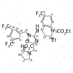 CCOC(=O)N1c2ccc(C(F)(F)F)cc2[C@@H](NC2=NC(CN3CCC[C@H]3C(=O)O)ON2Cc2cc(C(F)(F)F)cc(C(F)(F)F)c2)C[C@H]1CC